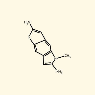 Cn1c(N)cc2cc3sc(N)cc3cc21